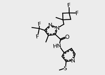 CSc1cc(NC(=O)c2c(C)c(C(C)(F)F)nn2CC2(C)CC(F)(F)C2)ccn1